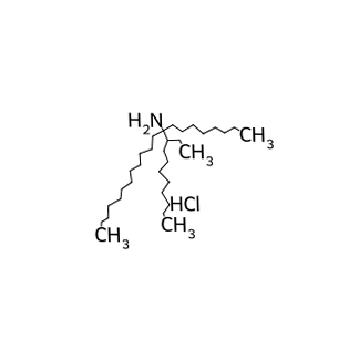 CCCCCCCCCCCCC(N)(CCCCCCCC)C(CC)CCCCCCCC.Cl